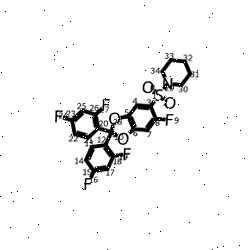 O=S(=O)(c1cc2c(cc1F)OC(c1ccc(F)cc1F)(c1ccc(F)cc1F)O2)N1CCCCC1